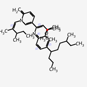 C=C1C=CC(C(=C/C(C)=O)/N=C(/C=C\C(=C/C)C(CCC)CCC(C)CC)C(C)CC)=CN1/C=C(/C)C(C)CC